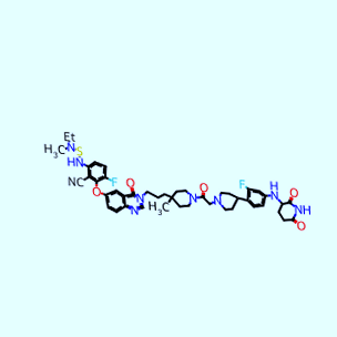 CCN(C)SNc1ccc(F)c(Oc2ccc3ncn(CCCC4(C)CCN(C(=O)CN5CCC(c6ccc(NC7CCC(=O)NC7=O)cc6F)CC5)CC4)c(=O)c3c2)c1C#N